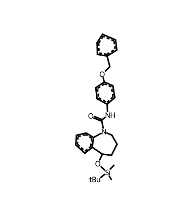 CC(C)(C)[Si](C)(C)OC1CCCN(C(=O)Nc2ccc(OCc3ccccc3)cc2)c2ccccc21